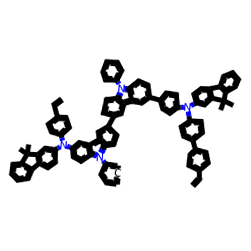 C=Cc1ccc(-c2ccc(N(c3ccc(-c4ccc5c(c4)c4cc(-c6ccc7c(c6)c6cc(N(c8ccc(C=C)cc8)c8ccc9c(c8)C(C)(C)c8ccccc8-9)ccc6n7-c6ccccc6)ccc4n5-c4ccccc4)cc3)c3ccc4c(c3)C(C)(C)c3ccccc3-4)cc2)cc1